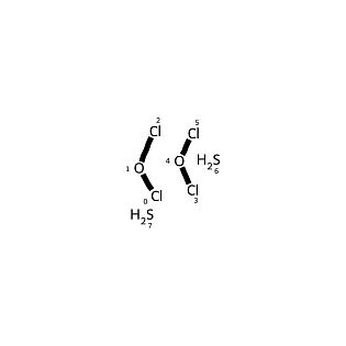 ClOCl.ClOCl.S.S